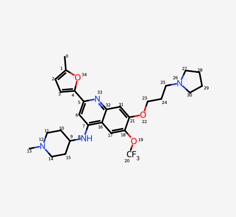 Cc1ccc(-c2cc(NC3CCN(C)CC3)c3cc(OC(F)(F)F)c(OCCCN4CCCC4)cc3n2)o1